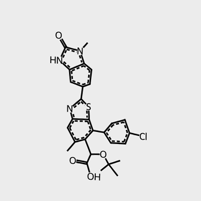 Cc1cc2nc(-c3ccc4c(c3)[nH]c(=O)n4C)sc2c(-c2ccc(Cl)cc2)c1C(OC(C)(C)C)C(=O)O